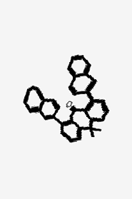 CC1(C)c2cccc(-c3ccc4ccccc4c3)c2C(=O)c2c(-c3ccc4ccccc4c3)cccc21